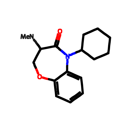 CNC1COc2ccccc2N(C2CCCCC2)C1=O